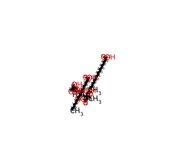 CCC(CC)(CC(=O)O)CC(=O)O.CCCCCCCCCCCCCCCCCC(=O)O.CCCCCCCCCCCCCCCCCC(=O)O.OCC(CO)(CO)CO